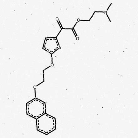 CN(C)CCOC(=O)C(=O)c1ccc(OCCOc2ccc3ccccc3c2)s1